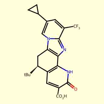 CC(C)(C)[C@H]1Cc2c(nc3c(C(F)(F)F)cc(C4CC4)cn23)-c2[nH]c(=O)c(C(=O)O)cc21